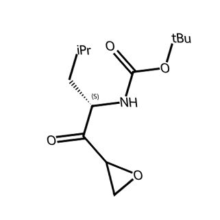 CC(C)C[C@H](NC(=O)OC(C)(C)C)C(=O)C1CO1